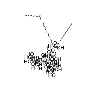 CCCCCCCC/C=C\CCCCCCCCCCCCCCCC(=O)N[C@@H](CO[C@@H]1OC(CO)[C@@H](O[C@@H]2OC(CO)[C@H](O[C@@H]3OC(CO)[C@H](O)[C@H](O[C@@H]4OC(CO)[C@H](O)[C@H](O)C4O)C3NC(C)=O)[C@H](O[C@]3(C(=O)O)CC(O)[C@@H](NC(C)=O)C([C@H](O)[C@H](O)CO)O3)C2O)[C@H](O)C1O)[C@H](O)/C=C/CCCCCCCCCCCCC